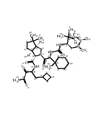 CN(C[C@@H](NC(=O)N[C@H](C(=O)N1C[C@H]2[C@H](CCC2(C)C)[C@H]1C(=O)NC(CC1CCC1)C(=O)C(N)=O)C1(C)CCCCC1)C(C)(C)C)[S+](C)[O-]